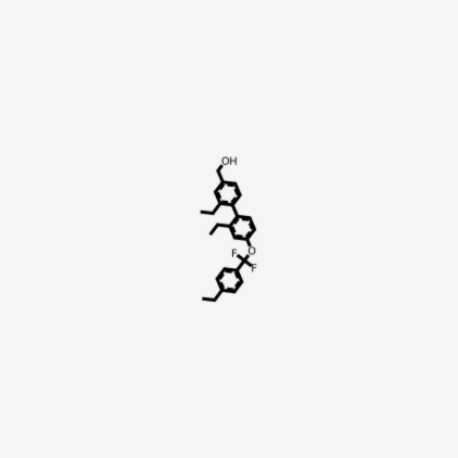 CCc1ccc(C(F)(F)Oc2ccc(-c3ccc(CO)cc3CC)c(CC)c2)cc1